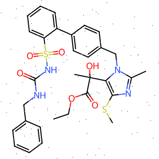 CCOC(=O)C(C)(O)c1c(SC)nc(C)n1Cc1ccc(-c2ccccc2S(=O)(=O)NC(=O)NCc2ccccc2)cc1